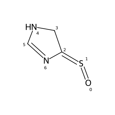 O=S=C1CNC=N1